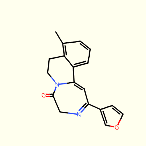 Cc1cccc2c1CCN1C(=O)CN=C(c3ccoc3)C=C21